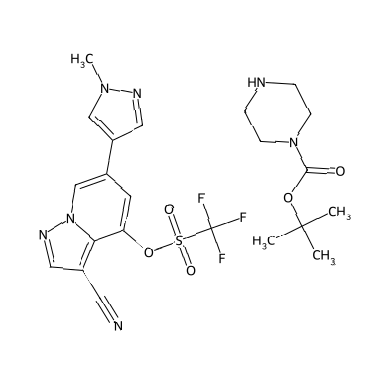 CC(C)(C)OC(=O)N1CCNCC1.Cn1cc(-c2cc(OS(=O)(=O)C(F)(F)F)c3c(C#N)cnn3c2)cn1